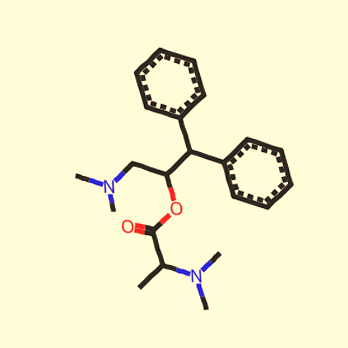 CC(C(=O)OC(CN(C)C)C(c1ccccc1)c1ccccc1)N(C)C